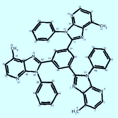 Cc1ccnc2c1nc(-c1cc(-c3nc4c(C)ccnc4n3-c3ccccc3)cc(-c3nc4c(C)ccnc4n3-c3ccccc3)c1)n2-c1ccccc1